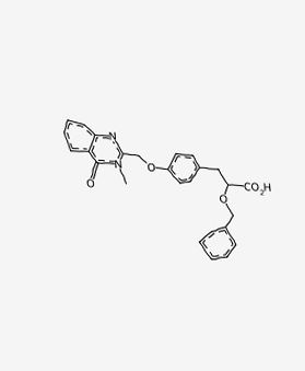 Cn1c(COc2ccc(CC(OCc3ccccc3)C(=O)O)cc2)nc2ccccc2c1=O